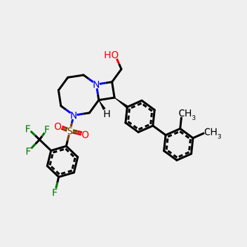 Cc1cccc(-c2ccc([C@@H]3C(CO)N4CCCCN(S(=O)(=O)c5ccc(F)cc5C(F)(F)F)C[C@@H]34)cc2)c1C